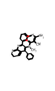 CN(c1ncnc(N)c1C#N)c1c(-c2ccccc2)nc2ncccc2c1-c1ccccc1